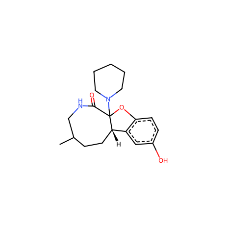 CC1CC[C@H]2c3cc(O)ccc3OC2(N2CCCCC2)C(=O)NC1